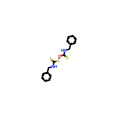 S=C(NCc1ccccc1)OSC(=S)NCc1ccccc1